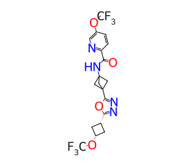 O=C(NC12CC(c3nnc([C@H]4C[C@@H](OC(F)(F)F)C4)o3)(C1)C2)c1ccc(OC(F)(F)F)cn1